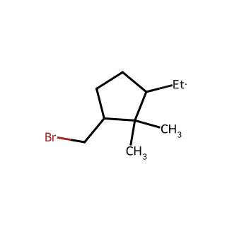 C[CH]C1CCC(CBr)C1(C)C